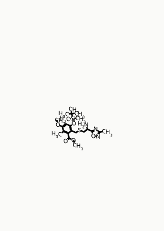 COC(=O)c1c(C)c(OC)cc(O[Si](C)(C)C(C)(C)C)c1CSCC(N)c1nc(C)no1